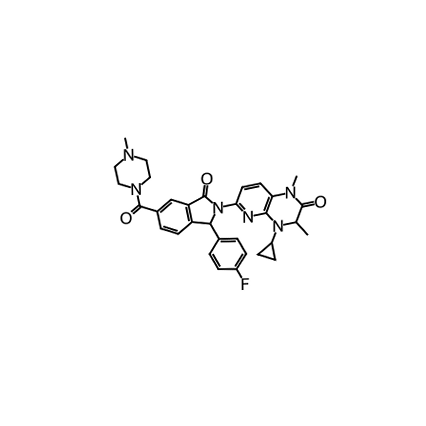 CC1C(=O)N(C)c2ccc(N3C(=O)c4cc(C(=O)N5CCN(C)CC5)ccc4C3c3ccc(F)cc3)nc2N1C1CC1